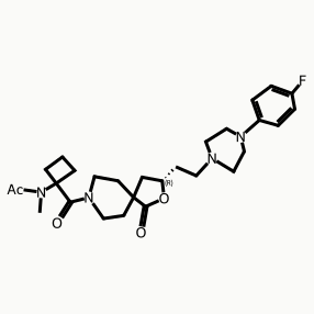 CC(=O)N(C)C1(C(=O)N2CCC3(CC2)C[C@H](CCN2CCN(c4ccc(F)cc4)CC2)OC3=O)CCC1